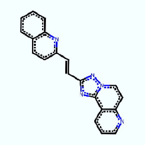 C(=Cc1nc2c3cccnc3ccn2n1)c1ccc2ccccc2n1